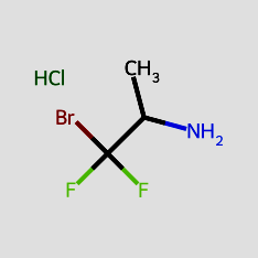 CC(N)C(F)(F)Br.Cl